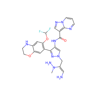 CN(N)/C(=C\N)Cn1cc(NC(=O)c2cnn3cccnc23)c(-c2cc3c(cc2OC(F)F)NCCO3)n1